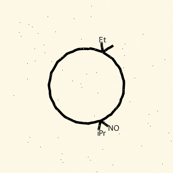 CCC1(C)CCCCCCCCCCCC(N=O)(C(C)C)CCCCCC1